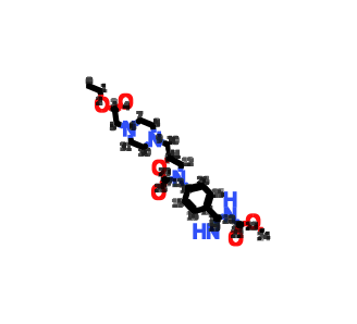 CCOC(=O)CN1CCN(C[C@H]2CN(c3ccc(C(=N)NC(=O)OC)cc3)C(=O)O2)CC1